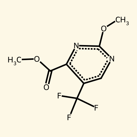 COC(=O)c1nc(OC)ncc1C(F)(F)F